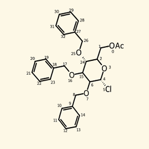 CC(=O)OCC1O[C@H](Cl)C(OCc2ccccc2)C(OCc2ccccc2)[C@@H]1OCc1ccccc1